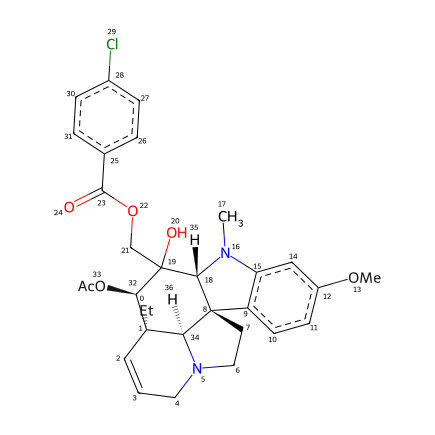 CC[C@]12C=CCN3CC[C@@]4(c5ccc(OC)cc5N(C)[C@H]4C(O)(COC(=O)c4ccc(Cl)cc4)[C@@H]1OC(C)=O)[C@@H]32